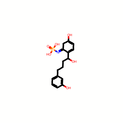 O=P(O)(O)N=C1CC(O)=CC=C1C(O)CCCc1cccc(O)c1